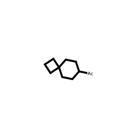 CC(=O)C1CCC2(CCC2)CC1